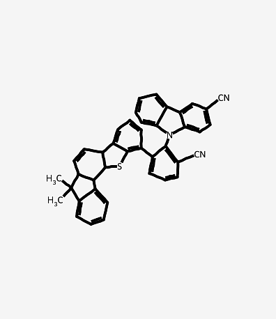 CC1(C)c2ccccc2C2C3Sc4c(-c5cccc(C#N)c5-n5c6ccccc6c6cc(C#N)ccc65)cccc4C3C=CC21